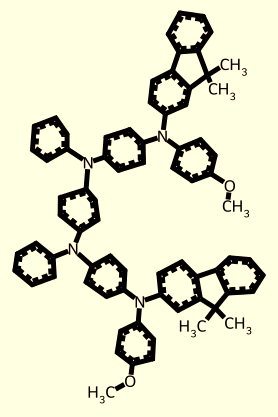 COc1ccc(N(c2ccc(N(c3ccccc3)c3ccc(N(c4ccccc4)c4ccc(N(c5ccc(OC)cc5)c5ccc6c(c5)C(C)(C)c5ccccc5-6)cc4)cc3)cc2)c2ccc3c(c2)C(C)(C)c2ccccc2-3)cc1